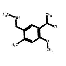 CNCc1cc(C(C)C)c(OC)cc1C